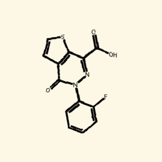 O=C(O)c1nn(-c2ccccc2F)c(=O)c2ccsc12